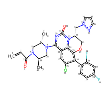 C=CC(=O)N1C[C@H](C)N(c2nc(=O)n3c4c(c(-c5ccc(F)cc5F)c(Cl)cc24)OC[C@H]3Cn2cccn2)C[C@H]1C